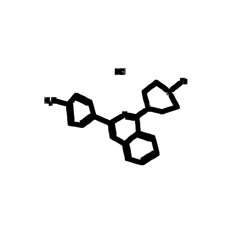 CCN1CCN(c2nc(-c3ccc(N)cc3)cc3ccccc23)CC1.Cl